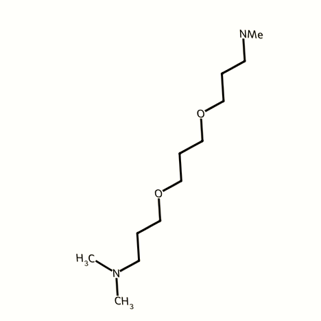 CNCCCOCCCOCCCN(C)C